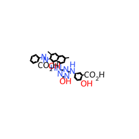 Cc1cc(Nc2nc(O)nc(Nc3ccc(O)c(C(=O)O)c3)n2)c2c(O)c(N=Nc3ccccc3C(=O)O)c(C)cc2c1